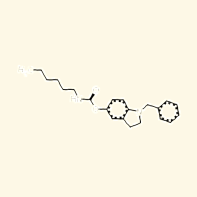 CCCCCCNC(=O)Oc1ccc2c(c1)CCN2Cc1ccccc1